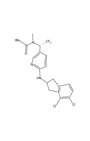 CN(C(=O)C(C)(C)C)[C@@H](c1ccc(NC2Cc3ccc(Cl)c(Cl)c3C2)nc1)C(F)(F)F